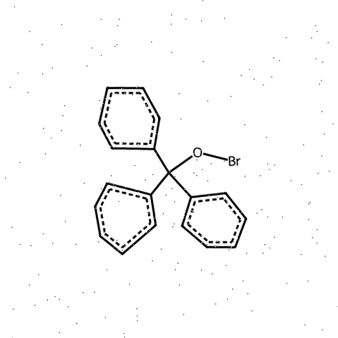 BrOC(c1ccccc1)(c1ccccc1)c1ccccc1